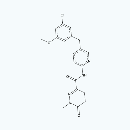 COc1cc(Cl)cc(Cc2ccc(NC(=O)C3=NN(C)C(=O)CC3)nc2)c1